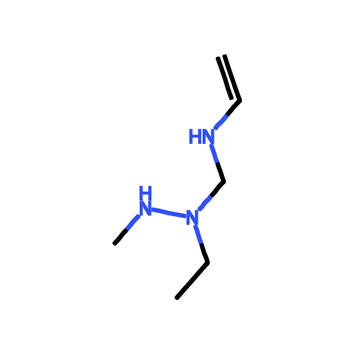 C=CNCN(CC)NC